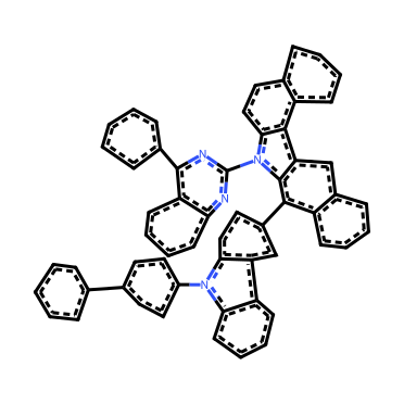 c1ccc(-c2ccc(-n3c4ccccc4c4cc(-c5c6ccccc6cc6c7c8ccccc8ccc7n(-c7nc(-c8ccccc8)c8ccccc8n7)c56)ccc43)cc2)cc1